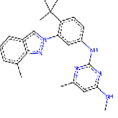 CNc1cc(C)nc(Nc2ccc(C3(C)CC3)c(-n3cc4cccc(C)c4n3)c2)n1